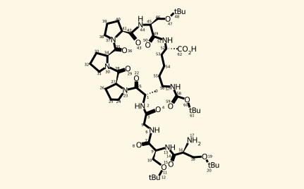 C[C@H](NC(=O)CNC(=O)[C@H](COC(C)(C)C)NC(=O)[C@@H](N)COC(C)(C)C)C(=O)N1CCC[C@H]1C(=O)N1CCC[C@H]1C(=O)N1CCC[C@H]1C(=O)N[C@@H](COC(C)(C)C)C(=O)N[C@@H](CCCCNC(=O)OC(C)(C)C)C(=O)O